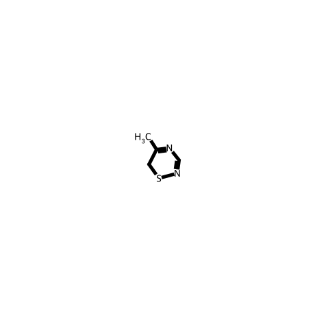 CC1=NC=NSC1